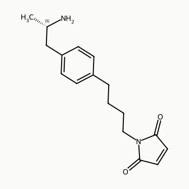 C[C@H](N)Cc1ccc(CCCCN2C(=O)C=CC2=O)cc1